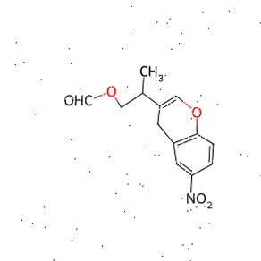 CC(COC=O)C1=COc2ccc([N+](=O)[O-])cc2C1